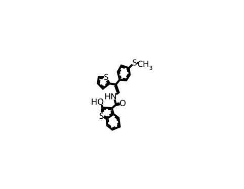 CSc1ccc(/C(=C/NC(=O)c2c(O)sc3ccccc23)c2cccs2)cc1